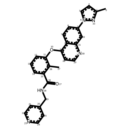 Cc1ccn(-c2ccc3c(Oc4cccc(C(=O)NCc5ccncc5)c4C)ccnc3c2)n1